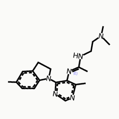 C/C(=N\c1c(C)ncnc1N1CCc2cc(C)ccc21)NCCN(C)C